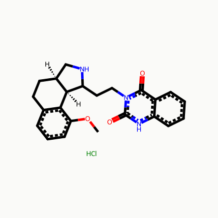 COc1cccc2c1[C@@H]1C(CCn3c(=O)[nH]c4ccccc4c3=O)NC[C@@H]1CC2.Cl